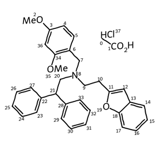 CC(=O)O.COc1ccc(CN(CCc2cc3ccccc3o2)CC(c2ccccc2)c2ccccc2)c(OC)c1.Cl